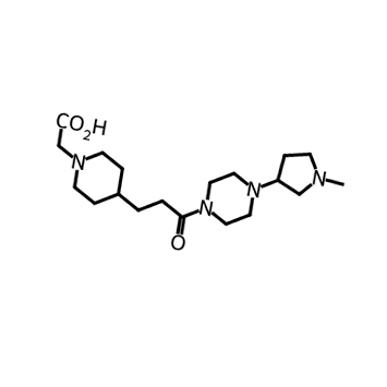 CN1CCC(N2CCN(C(=O)CCC3CCN(CC(=O)O)CC3)CC2)C1